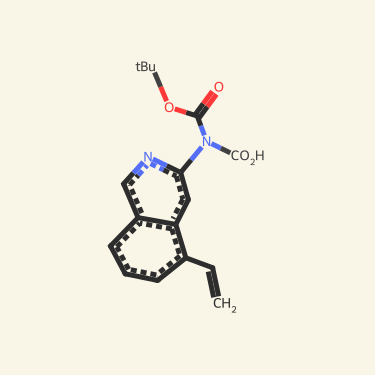 C=Cc1cccc2cnc(N(C(=O)O)C(=O)OC(C)(C)C)cc12